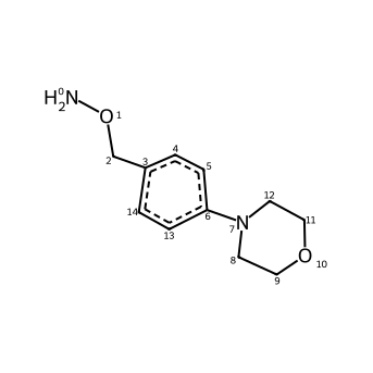 NOCc1ccc(N2CCOCC2)cc1